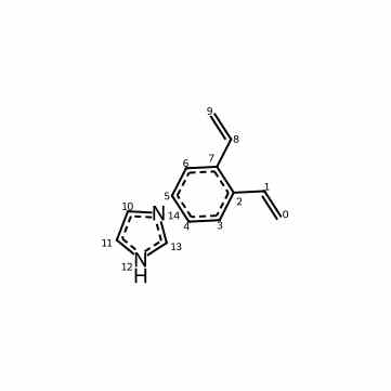 C=Cc1ccccc1C=C.c1c[nH]cn1